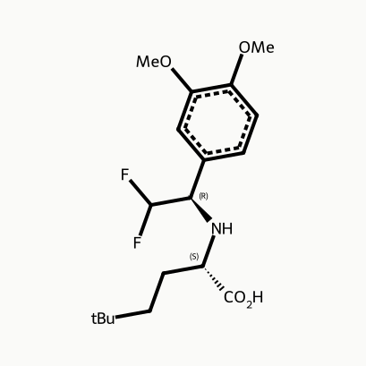 COc1ccc([C@@H](N[C@@H](CCC(C)(C)C)C(=O)O)C(F)F)cc1OC